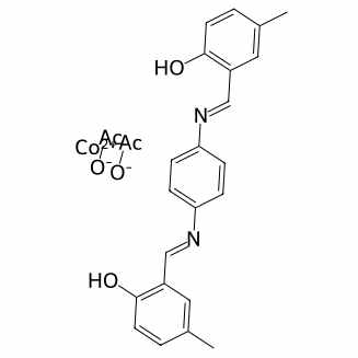 CC(=O)[O-].CC(=O)[O-].Cc1ccc(O)c(C=Nc2ccc(N=Cc3cc(C)ccc3O)cc2)c1.[Co+2]